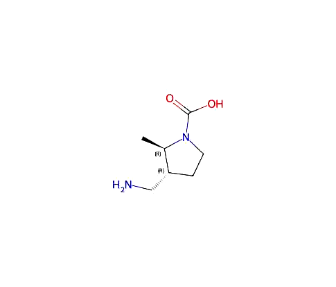 C[C@@H]1[C@@H](CN)CCN1C(=O)O